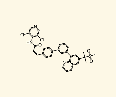 CC(C)(c1cc(-c2cccc(-c3ccc(/C=C\C(=O)Nc4c(Cl)cncc4Cl)cc3)c2)c2ncccc2c1)S(C)(=O)=O